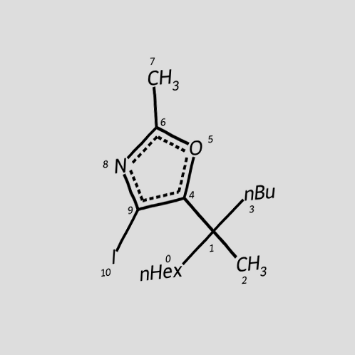 CCCCCCC(C)(CCCC)c1oc(C)nc1I